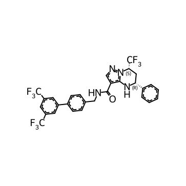 O=C(NCc1ccc(-c2cc(C(F)(F)F)cc(C(F)(F)F)c2)cc1)c1cnn2c1N[C@@H](c1ccccc1)C[C@H]2C(F)(F)F